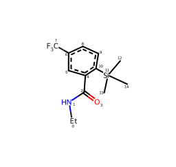 CCNC(=O)c1cc(C(F)(F)F)ccc1[Si](C)(C)C